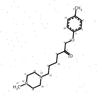 Cc1ccc(OCC(=O)CCCCN2CCN(C)CC2)cc1